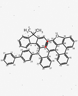 CC1(C)c2ccccc2-c2c(N(c3ccc(-c4ccccc4)cc3)c3ccccc3-c3ccc4oc5cccc6c7ccccc7c3c4c56)cccc21